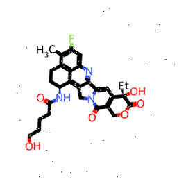 CC[C@@]1(O)C(=O)OCc2c1cc1n(c2=O)Cc2c-1nc1cc(F)c(C)c3c1c2[C@@H](NC(=O)CCCCO)CC3